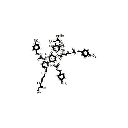 CC(C)OC(=O)NCCCNCC1=CC[C@@H](NC(=O)OCc2ccc([N+](=O)[O-])cc2)[C@@H](C2[C@@H](NC(=O)OCc3ccc([N+](=O)[O-])cc3)C[C@@H](NC(=O)[C@H](O)CCNC(=O)OCc3ccc([N+](=O)[O-])cc3)[C@H](O[C@H]3OC[C@](C)(O)C(N(C)C(=O)OC(C)(C)C)[C@H]3O)[C@H]2O)O1